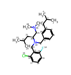 CC(C)Cc1cccc(CN(Cc2c(F)cccc2Cl)[C@@H](CC(C)C)CN(C)C)c1